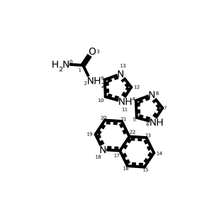 NC(N)=O.c1c[nH]cn1.c1c[nH]cn1.c1ccc2ncccc2c1